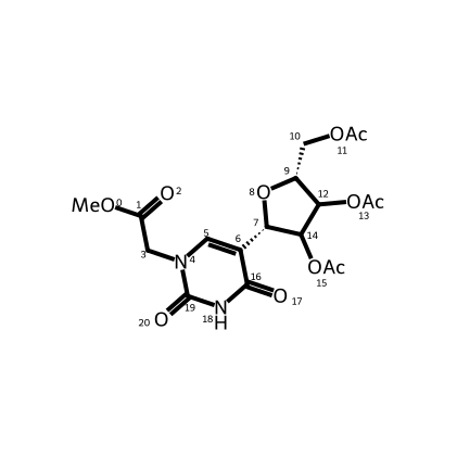 COC(=O)Cn1cc([C@@H]2O[C@H](COC(C)=O)C(OC(C)=O)C2OC(C)=O)c(=O)[nH]c1=O